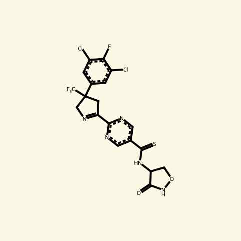 O=C1NOCC1NC(=S)c1cnc(C2=NCC(c3cc(Cl)c(F)c(Cl)c3)(C(F)(F)F)C2)nc1